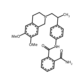 COc1cc2c(cc1OC)CN(CC(C)c1ccc(NC(=O)c3ccccc3C(N)=O)cc1)CC2